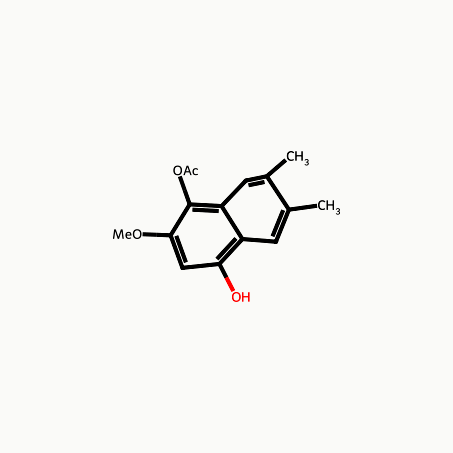 COc1cc(O)c2cc(C)c(C)cc2c1OC(C)=O